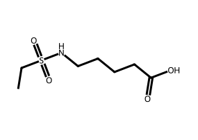 CCS(=O)(=O)NCCCCC(=O)O